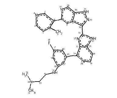 Cc1ccncc1-c1cc2c(-c3nc4c(-c5cc(F)cc(NCCN(C)C)c5)nccc4[nH]3)n[nH]c2cn1